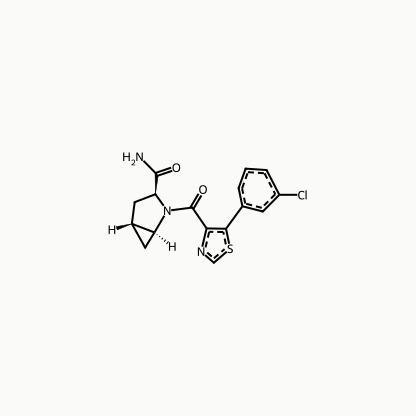 NC(=O)[C@@H]1C[C@H]2C[C@@H]2N1C(=O)c1ncsc1-c1cccc(Cl)c1